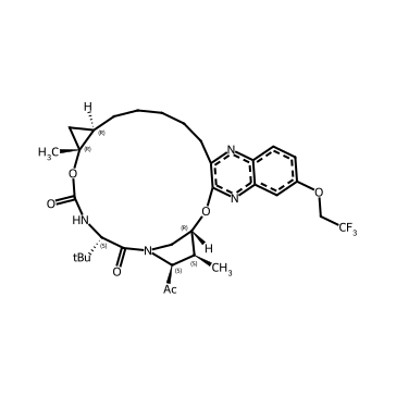 CC(=O)[C@@H]1[C@H](C)[C@@H]2CN1C(=O)[C@H](C(C)(C)C)NC(=O)O[C@]1(C)C[C@H]1CCCCCc1nc3ccc(OCC(F)(F)F)cc3nc1O2